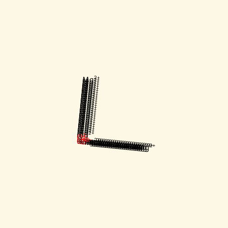 [Mg+2].[Mg+2].[Mg+2].[Mg+2].[Mg+2].[Mg+2].[Mg+2].[Mg+2].[Mg+2].[Mg+2].[Mg+2].[Mg+2].[Mg+2].[Mg+2].[Mg+2].[Mg+2].[Mg+2].[Mg+2].[Mg+2].[Mg+2].[Mg+2].[Mg+2].[Mg+2].[Mg+2].[Mg+2].[Mg+2].[Mg+2].[Mg+2].[Mg+2].[Mg+2].[Mg+2].[Mg+2].[Mg+2].[Mg+2].[Mg+2].[Mg+2].[Mg+2].[Mg+2].[Mg+2].[Mg+2].[Mg+2].[Mg+2].[Mg+2].[Mg+2].[Mg+2].[Mg+2].[Mg+2].[Mg+2].[Mg+2].[Mg+2].[Mg+2].[Mg+2].[Mg+2].[Mg+2].[O-2].[O-2].[O-2].[O-2].[O-2]